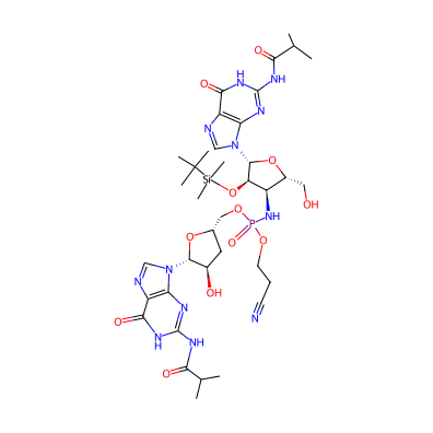 CC(C)C(=O)Nc1nc2c(ncn2[C@@H]2O[C@H](CO)[C@@H](NP(=O)(OCCC#N)OC[C@@H]3C[C@@H](O)[C@H](n4cnc5c(=O)[nH]c(NC(=O)C(C)C)nc54)O3)[C@H]2O[Si](C)(C)C(C)(C)C)c(=O)[nH]1